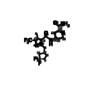 Cc1c(C(F)(F)F)nn(CC2CCC(F)(F)C2)c1C(=O)Nc1ccnc(C(N)=O)c1